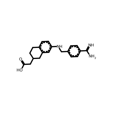 N=C(N)c1ccc(CNc2ccc3c(c2)CC(CC(=O)O)CC3)cc1